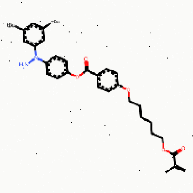 C=C(C)C(=O)OCCCCCCOc1ccc(C(=O)Oc2ccc(N(N)c3cc(C(C)(C)C)cc(C(C)(C)C)c3)cc2)cc1